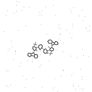 Cc1c(-n2c3ccccc3c3ccccc32)ccc(C(C)(C)C)c1-c1cc(-c2cccc(-c3c(C(C)(C)C)ccc(-n4c5ccccc5c5ccccc54)c3C)n2)ccn1